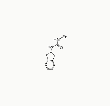 CCNC(=O)NC1Cc2ccccc2C1